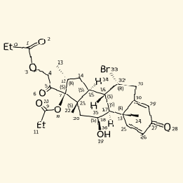 CCC(=O)OCC(=O)[C@]1(OC(=O)CC)[C@H](C)C[C@H]2[C@H]3[C@H]([C@@H](O)C[C@@]21C)[C@@]1(C)C=CC(=O)C=C1C[C@H]3Br